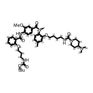 COc1cc(C(=O)N(C)c2ccc(C)cc2OCCCCNC(=O)N2CCC(N(C)C)CC2)ccc1NC(=O)c1ccccc1OCCCNC(=O)OC(C)(C)C